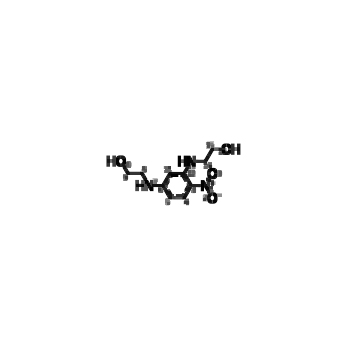 O=[N+]([O-])c1ccc(NCCO)cc1NCCO